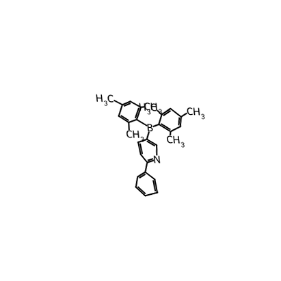 Cc1cc(C)c(B(c2ccc(-c3ccccc3)nc2)c2c(C)cc(C)cc2C)c(C)c1